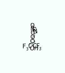 O=c1ccn2c(n1)O[C@H](COc1ccc(C(O)(C(F)(F)F)C(F)(F)F)cc1)C2